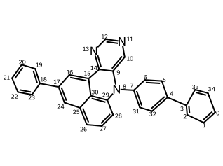 c1ccc(-c2ccc(N3c4cncnc4-c4cc(-c5ccccc5)cc5cccc3c45)cc2)cc1